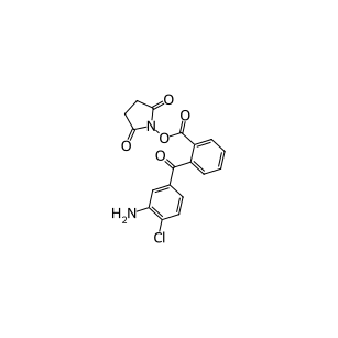 Nc1cc(C(=O)c2ccccc2C(=O)ON2C(=O)CCC2=O)ccc1Cl